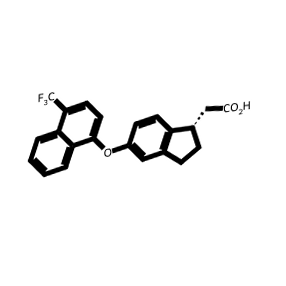 O=C(O)C[C@@H]1CCc2cc(Oc3ccc(C(F)(F)F)c4ccccc34)ccc21